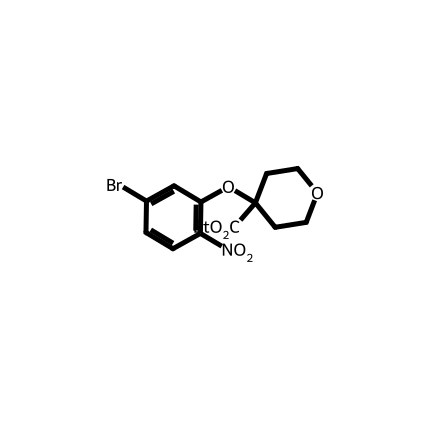 CCOC(=O)C1(Oc2cc(Br)ccc2[N+](=O)[O-])CCOCC1